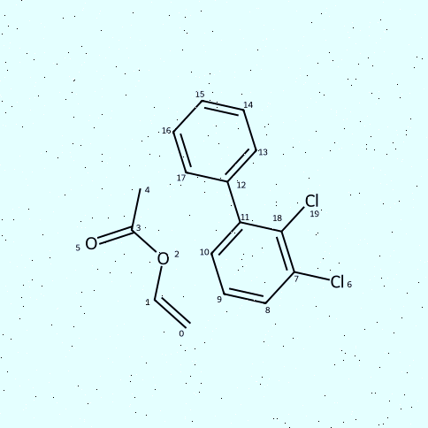 C=COC(C)=O.Clc1cccc(-c2ccccc2)c1Cl